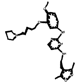 COc1ccc(Nc2nccc(NCc3c(C)noc3C)n2)cc1OCCCN1CCCC1